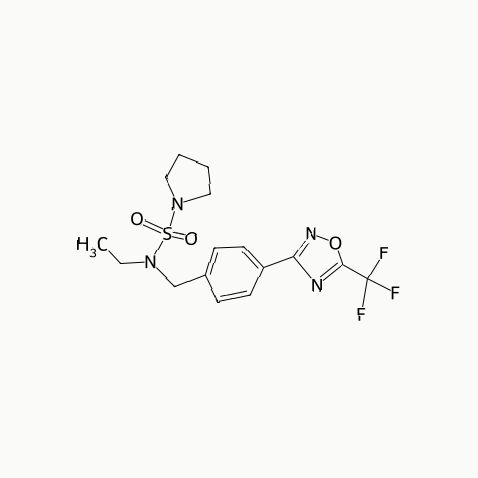 CCN(Cc1ccc(-c2noc(C(F)(F)F)n2)cc1)S(=O)(=O)N1CCCC1